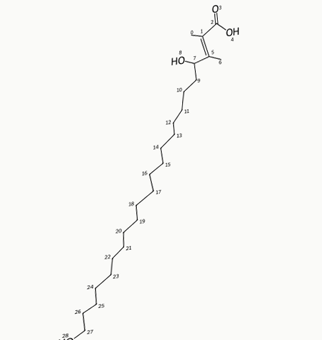 CC(C(=O)O)=C(C)C(O)CCCCCCCCCCCCCCCCCCCO